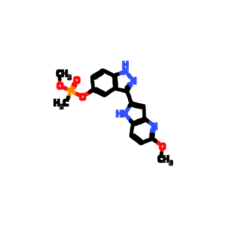 COc1ccc2[nH]c(-c3n[nH]c4ccc(OP(C)(=O)OC)cc34)cc2n1